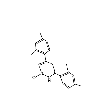 Cc1ccc(C2=CN(Cl)NN(c3ccc(C)cc3C)C2)c(C)c1